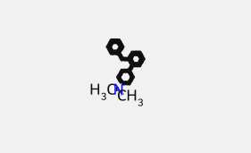 CN(C)C1CCC(c2ccccc2Cc2ccccc2)CC1